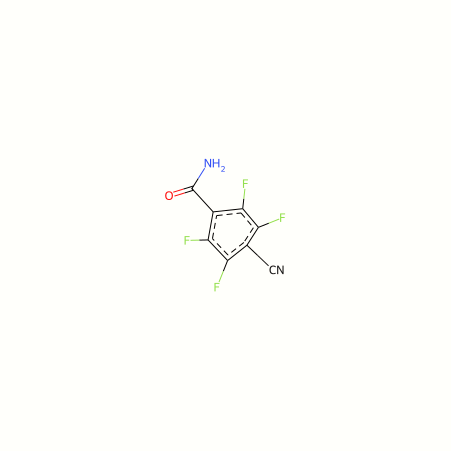 N#Cc1c(F)c(F)c(C(N)=O)c(F)c1F